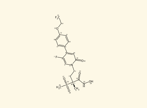 C[C@@](CCn1cc(F)c(-c2ccc(OCC(F)(F)F)cc2)cc1=O)(C(=O)NO)S(C)(=O)=O